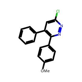 COc1ccc(-c2nnc(Cl)cc2-c2ccccc2)cc1